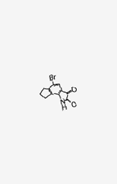 O=C1Nc2c(cc(Br)c3c2CCC3)C1=O